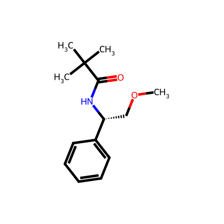 COC[C@@H](NC(=O)C(C)(C)C)c1ccccc1